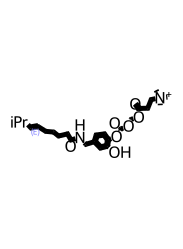 CC(C)/C=C/CCCCC(=O)NCc1ccc(OC(=O)OCOC(=O)CC[N+](C)(C)C)c(O)c1